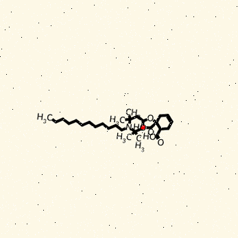 CCCCCCCCCCCCN1C(C)(C)CC(OC2(C(=O)O)CC=CCC2C(=O)O)CC1(C)C